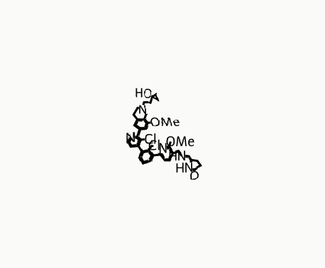 COc1cc(-c2nccc(-c3cccc(-c4ccc(CNCC5CCC(=O)N5)c(OC)n4)c3Cl)c2Cl)cc2c1CN(CCC1(O)CC1)CC2